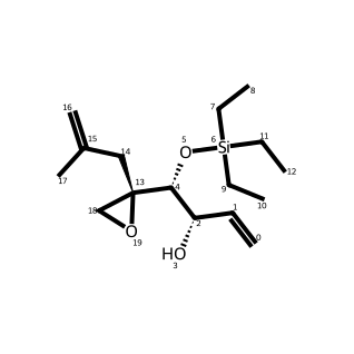 C=C[C@H](O)[C@@H](O[Si](CC)(CC)CC)[C@@]1(CC(=C)C)CO1